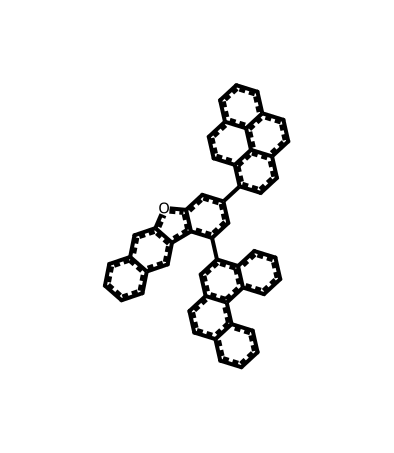 c1ccc2cc3c(cc2c1)oc1cc(-c2ccc4ccc5cccc6ccc2c4c56)cc(-c2cc4ccc5ccccc5c4c4ccccc24)c13